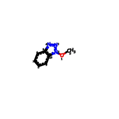 COn1nnc2ccccc21